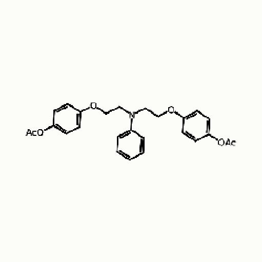 CC(=O)Oc1ccc(OCCN(CCOc2ccc(OC(C)=O)cc2)c2ccccc2)cc1